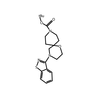 CC(C)(C)OC(=O)N1CCC2(CC1)CN(c1nsc3ccccc13)CCO2